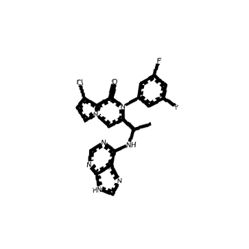 CC(Nc1ncnc2[nH]cnc12)c1cn2ccc(Cl)c2c(=O)n1-c1cc(F)cc(F)c1